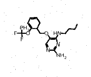 CCCCNc1nc(N)ncc1OCC1CC=CC=C1OC(F)(F)P